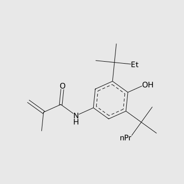 C=C(C)C(=O)Nc1cc(C(C)(C)CC)c(O)c(C(C)(C)CCC)c1